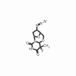 CC1(F)C(=O)NC(=O)N2C3CC(N=[N+]=[N-])C(COC21)O3